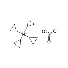 C1CC1[N+](C1CC1)(C1CC1)C1CC1.O=[N+]([O-])[O-]